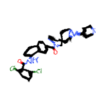 O=C(NC1CCc2ccc(C(=O)N3CCC4(CCN(c5ccncc5)CC4)C3)cc21)c1c(Cl)cccc1Cl